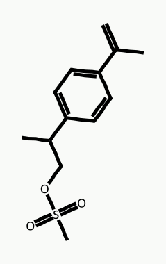 C=C(C)c1ccc(C(C)COS(C)(=O)=O)cc1